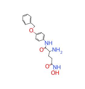 NC(CCC(=O)NO)C(=O)Nc1ccc(OCc2ccccc2)cc1